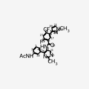 CC(=O)Nc1cccc(-c2nc(C)ncc2NC(=O)c2cc(-c3ccn(C)n3)c(C(F)(F)F)cc2F)c1